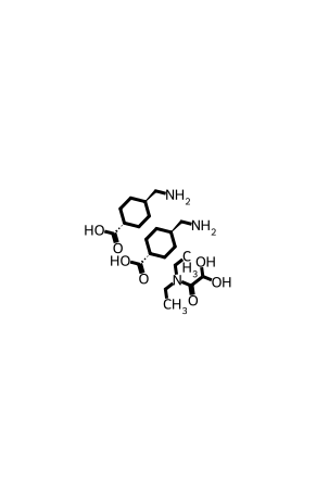 CCN(CC)C(=O)C(O)O.NC[C@H]1CC[C@H](C(=O)O)CC1.NC[C@H]1CC[C@H](C(=O)O)CC1